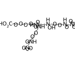 O=C(O)CCOCCOCCOCCOCCNC(=O)[C@H](CCCCNC(O)CCOCCOCCNC(=O)CCN1C(=O)C=CC1=O)NC(=O)CCOCCOCCNC(=O)CCN1C(=O)C=CC1=O